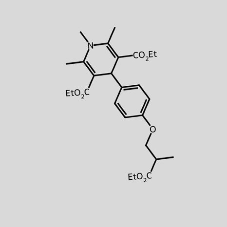 CCOC(=O)C1=C(C)N(C)C(C)=C(C(=O)OCC)C1c1ccc(OCC(C)C(=O)OCC)cc1